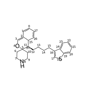 C1=CC2=COC3(CCNCC3)[C@H](CCCCc3csc4ccccc34)C2C=C1